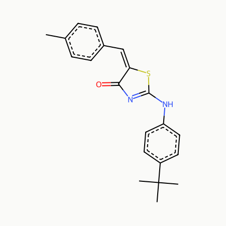 Cc1ccc(C=C2SC(Nc3ccc(C(C)(C)C)cc3)=NC2=O)cc1